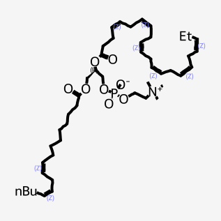 CC/C=C\C/C=C\C/C=C\C/C=C\C/C=C\C/C=C\CCC(=O)O[C@H](COC(=O)CCCCCCC/C=C\C/C=C\CCCC)COP(=O)([O-])OCC[N+](C)(C)C